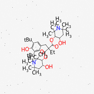 CCC(Cc1cc(C(C)(C)C)c(O)c(C(C)(C)C)c1)(C(=O)OC1C(O)CC(C)(C)N(C)C1(C)C)C(=O)OC1C(O)CC(C)(C)N(C)C1(C)C